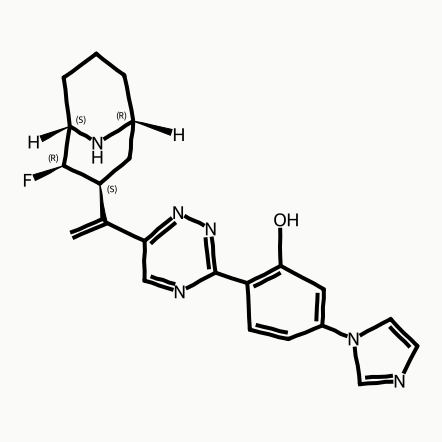 C=C(c1cnc(-c2ccc(-n3ccnc3)cc2O)nn1)[C@@H]1C[C@H]2CCC[C@H](N2)[C@@H]1F